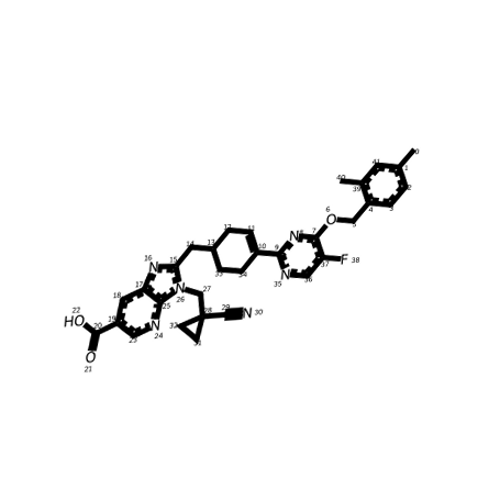 Cc1ccc(COc2nc(C3=CCC(Cc4nc5cc(C(=O)O)cnc5n4CC4(C#N)CC4)CC3)ncc2F)c(C)c1